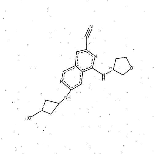 N#Cc1cc2cnc(NC3CC(O)C3)cc2c(N[C@@H]2CCOC2)n1